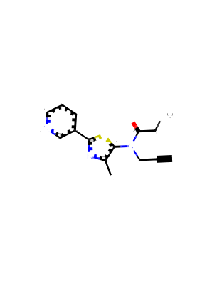 C#CCN(C(=O)CSC)c1sc(-c2cccnc2)nc1C